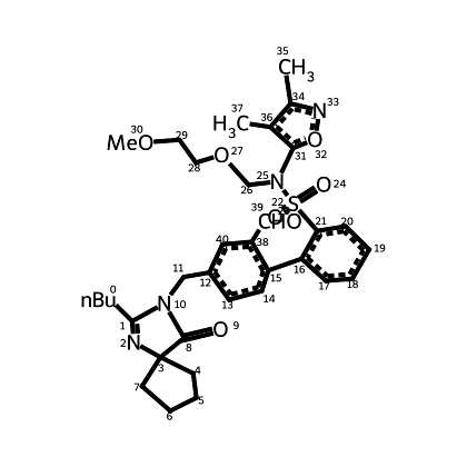 CCCCC1=NC2(CCCC2)C(=O)N1Cc1ccc(-c2ccccc2S(=O)(=O)N(COCCOC)c2onc(C)c2C)c(C=O)c1